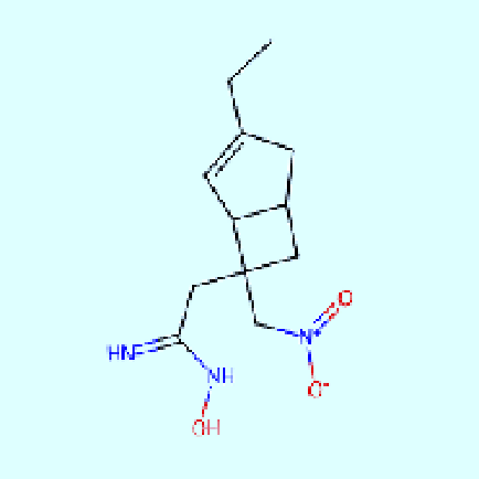 CCC1=CC2C(C1)CC2(CC(=N)NO)C[N+](=O)[O-]